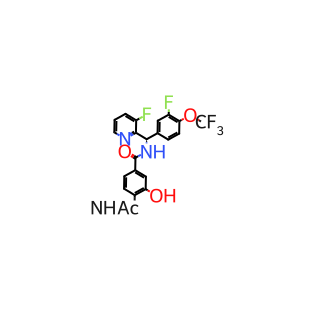 CC(=O)Nc1ccc(C(=O)N[C@@H](c2ccc(OC(F)(F)F)c(F)c2)c2ncccc2F)cc1O